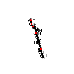 O=C(O)CCCC(=O)NC[C@H]1CC[C@H](C(=O)C[C@@H](CCC(=O)NCCOCCOCC(=O)NCCOCCOCC(=O)N[C@@H](CCCCNC(=O)CBr)C(=O)O)C(=O)O)CC1